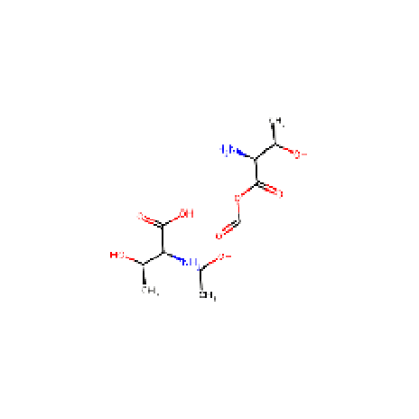 CCO.C[C@@H](O)[C@H](N)C(=O)O.C[C@@H](O)[C@H](N)C(=O)OC=O